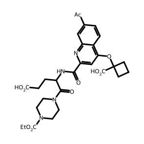 CCOC(=O)N1CCN(C(=O)C(CCC(=O)O)NC(=O)c2cc(OC3(C(=O)O)CCC3)c3ccc(C(C)=O)cc3n2)CC1